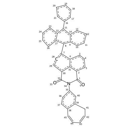 O=C1c2cccc3c(-c4c5ccccc5c(-c5ccccc5)c5ccccc45)ccc(c23)C(=O)N1c1ccc2c(c1)CC=CC=C2